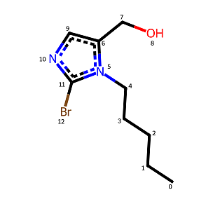 CCCCCn1c(CO)cnc1Br